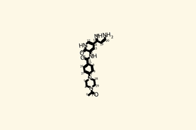 CC(=O)N1CCN(c2ccc(C(=O)Nc3cc(C(=N)/C=C\N)c[nH]c3=O)cc2)CC1